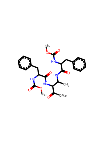 COC(=O)C(NC(=O)C(Cc1ccccc1)NC(=O)OC(C)(C)C)C(C)NC(=O)C(Cc1ccccc1)NC(=O)OC(C)(C)C